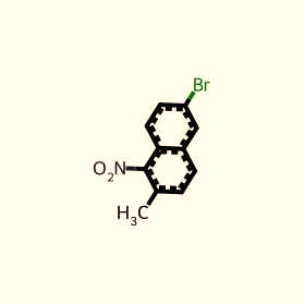 Cc1ccc2cc(Br)ccc2c1[N+](=O)[O-]